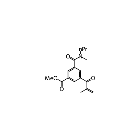 C=C(C)C(=O)c1cc(C(=O)OC)cc(C(=O)N(C)CCC)c1